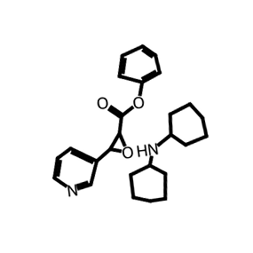 C1CCC(NC2CCCCC2)CC1.O=C(Oc1ccccc1)C1OC1c1cccnc1